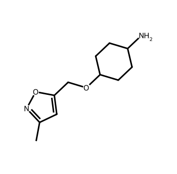 Cc1cc(COC2CCC(N)CC2)on1